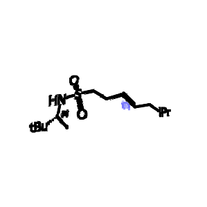 CC(C)C/C=C/CCS(=O)(=O)N[C@H](C)C(C)(C)C